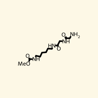 COC(=O)NCCCCCCNC(=O)CNC(=O)CN